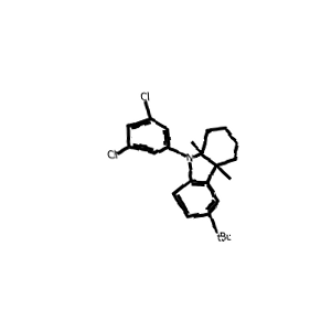 CC(C)(C)c1ccc2c(c1)C1(C)CCCCC1(C)N2c1cc(Cl)cc(Cl)c1